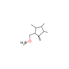 BOCC1C(=C)C(C)C(C)C1C